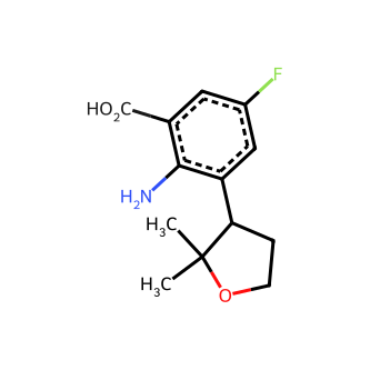 CC1(C)OCCC1c1cc(F)cc(C(=O)O)c1N